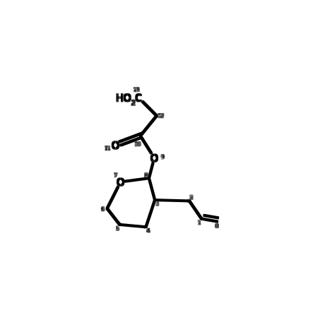 C=CCC1CCCOC1OC(=O)CC(=O)O